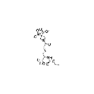 CCOC(=O)NC(CSCC(=O)N1CC([N+](=O)[O-])([N+](=O)[O-])C1)C(=O)O